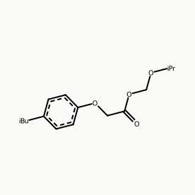 CCC(C)c1ccc(OCC(=O)OCOC(C)C)cc1